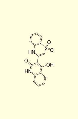 O=c1[nH]c2ccccc2c(O)c1C1=CS(=O)(=O)c2ccccc2N1